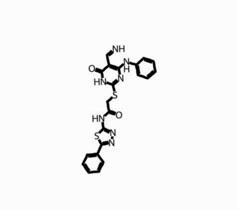 N=Cc1c(Nc2ccccc2)nc(SCC(=O)Nc2nnc(-c3ccccc3)s2)[nH]c1=O